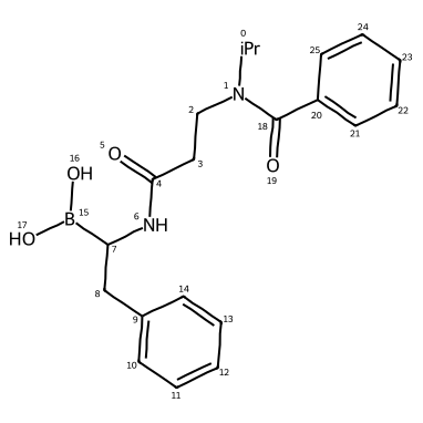 CC(C)N(CCC(=O)NC(Cc1ccccc1)B(O)O)C(=O)c1ccccc1